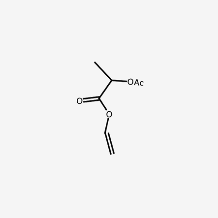 C=COC(=O)C(C)OC(C)=O